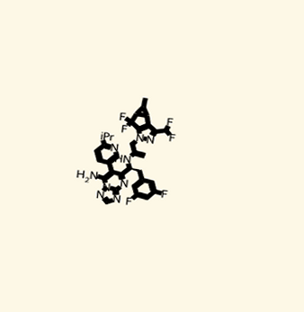 C=C(Cn1nc(C(F)F)c2c1C(F)(F)C1C(C)C21)N[C@@H](Cc1cc(F)cc(F)c1)c1nc2ncnn2c(N)c1-c1ccc(C(C)C)nc1